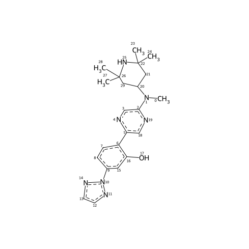 CN(c1cnc(-c2ccc(-n3nccn3)cc2O)cn1)C1CC(C)(C)NC(C)(C)C1